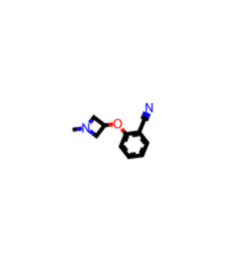 CN1CC(Oc2ccccc2C#N)C1